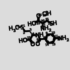 CSCC[C@H](NC(=O)c1ccc(N)cc1)C(=O)O.Cl.N[C@@H](CS)C(=O)O